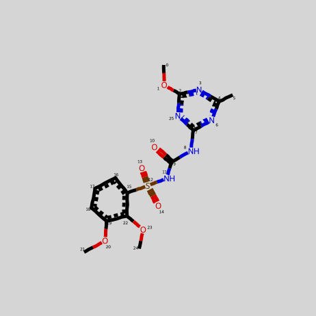 COc1nc(C)nc(NC(=O)NS(=O)(=O)c2cccc(OC)c2OC)n1